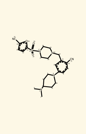 CN(C)C1CCN(c2ccc(C#N)c(CN3CCN(S(=O)(=O)c4ccc(C#N)o4)CC3)c2)CC1